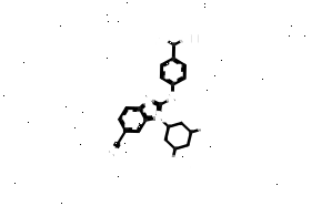 CC1CC(C)CC(n2c(Nc3ccc(C(C)C)cc3)nc3ccc(C#N)cc32)C1